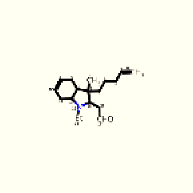 C=CCCCC1(C)C2CC=CCC2N(CC)C1CC=O